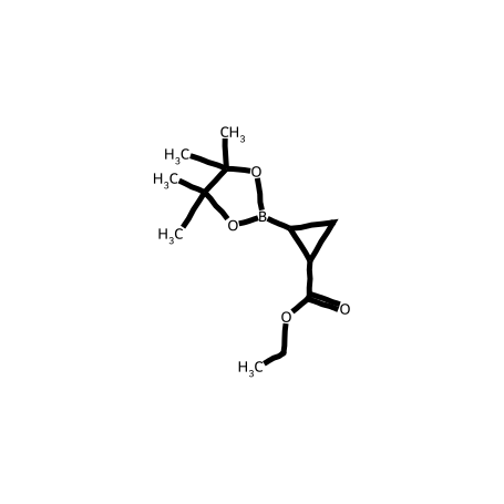 CCOC(=O)C1CC1B1OC(C)(C)C(C)(C)O1